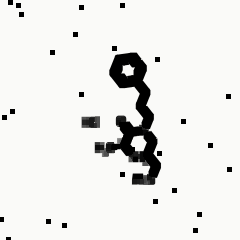 CSCCCN(CCCc1ccccc1)C(=O)[C@@H](C)N.Cl